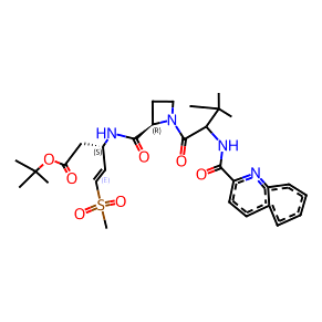 CC(C)(C)OC(=O)C[C@@H](/C=C/S(C)(=O)=O)NC(=O)[C@H]1CCN1C(=O)C(NC(=O)c1ccc2ccccc2n1)C(C)(C)C